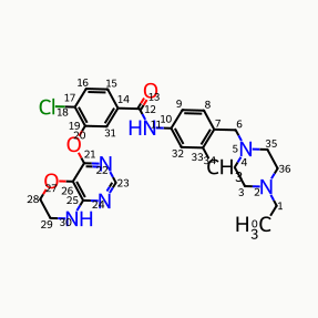 CCN1CCN(Cc2ccc(NC(=O)c3ccc(Cl)c(Oc4ncnc5c4OCCN5)c3)cc2C)CC1